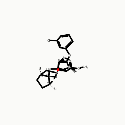 COc1cc(N2C[C@H]3CC[C@@H](C2)[C@@H]3Nc2nc(Oc3cccc(Cl)c3)n(C)n2)cnn1